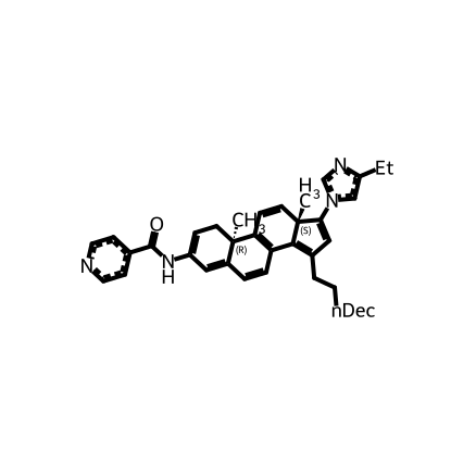 CCCCCCCCCCCCC1=C2C3=C(C=C[C@]2(C)C(n2cnc(CC)c2)=C1)[C@]1(C)CC=C(NC(=O)c2ccncc2)C=C1C=C3